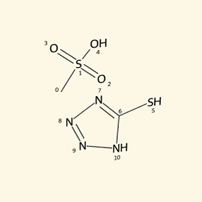 CS(=O)(=O)O.Sc1nnn[nH]1